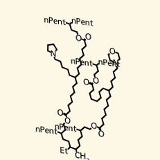 CCCCCC(CCCCC)CCOC(=O)CCCCCCCC(CCCCCCCC(=O)OCCC(CCCCC)CCC(CC)C(C)CCCC(CCCCC)CCOC(=O)CCCCCCCC(CCCCCCCC(=O)OCCC(CCCCC)CCCCC)CCCCCN1CCOCC1)CCCCCN1CCCC1